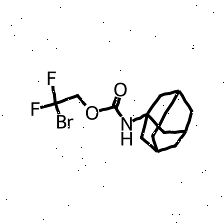 O=C(NC12CC3CC(CC(C3)C1)C2)OCC(F)(F)Br